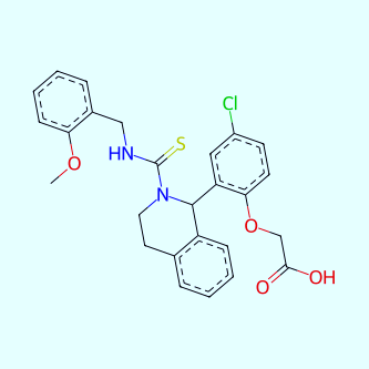 COc1ccccc1CNC(=S)N1CCc2ccccc2C1c1cc(Cl)ccc1OCC(=O)O